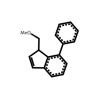 COCC1C=Cc2cccc(-c3ccccc3)c21